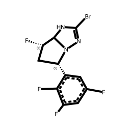 Fc1cc(F)c(F)c([C@@H]2C[C@H](F)C3NC(Br)=NN32)c1